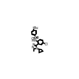 Cc1nnc(-c2cc(Cl)ccc2NS(=O)(=O)c2ccc(C(C)(C)C)cc2)n1C1CCC1